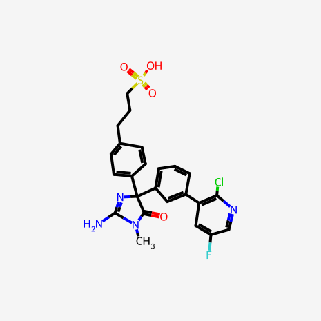 CN1C(=O)C(c2ccc(CCCS(=O)(=O)O)cc2)(c2cccc(-c3cc(F)cnc3Cl)c2)N=C1N